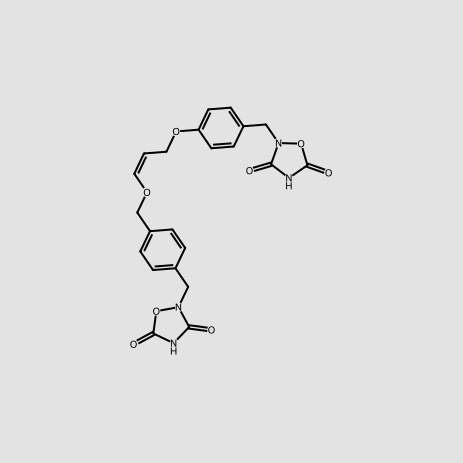 O=c1[nH]c(=O)n(Cc2ccc(CO/C=C\COc3ccc(Cn4oc(=O)[nH]c4=O)cc3)cc2)o1